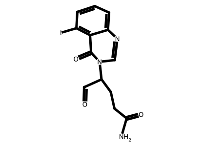 NC(=O)CCC(C=O)n1cnc2cccc(I)c2c1=O